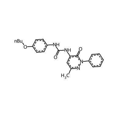 CCCCOc1ccc(NC(=O)Nc2cc(C)nn(-c3ccccc3)c2=O)cc1